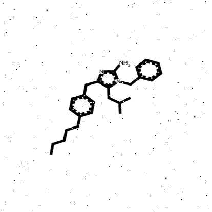 CCCCCc1ccc(Cc2nc(N)n(Cc3ccccc3)c2CC(C)C)cc1